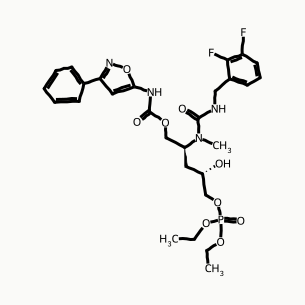 CCOP(=O)(OCC)OC[C@@H](O)C[C@@H](COC(=O)Nc1cc(-c2ccccc2)no1)N(C)C(=O)NCc1cccc(F)c1F